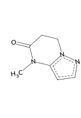 CN1C(=O)CCn2nccc21